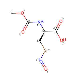 COC(=O)N[C@H](CSN=O)C(=O)O